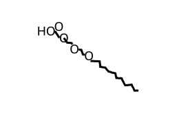 CCCCCCCCCCCCOCCOCCOCC(=O)O